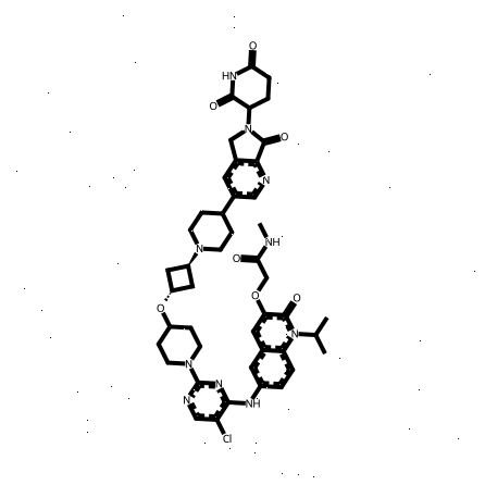 CNC(=O)COc1cc2cc(Nc3nc(N4CCC(O[C@H]5C[C@H](N6CCC(c7cnc8c(c7)CN(C7CCC(=O)NC7=O)C8=O)CC6)C5)CC4)ncc3Cl)ccc2n(C(C)C)c1=O